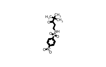 CC(C)(C)C(=O)CCNS(=O)(=O)c1ccc([N+](=O)[O-])cc1